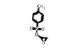 Cc1ccc(S(=O)(=O)O[C]2CO2)cc1